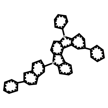 c1ccc(-c2ccc3cc(-n4c5ccccc5c5c6c7cc(-c8ccccc8)ccc7n(-c7ccccc7)c6ccc54)ccc3c2)cc1